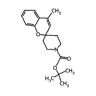 CC1=CC2(CCN(C(=O)OC(C)(C)C)CC2)Oc2ccccc21